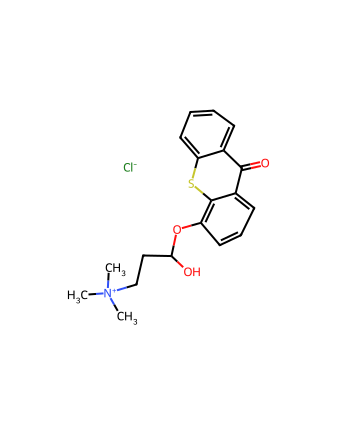 C[N+](C)(C)CCC(O)Oc1cccc2c(=O)c3ccccc3sc12.[Cl-]